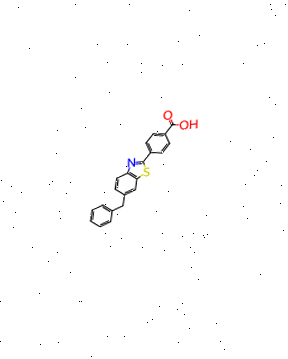 O=C(O)c1ccc(-c2nc3ccc(Cc4ccccc4)cc3s2)cc1